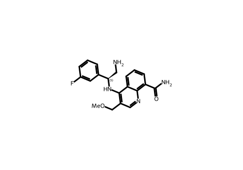 COCc1cnc2c(C(N)=O)cccc2c1N[C@H](CN)c1cccc(F)c1